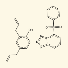 C=CCc1cc(CC=C)c(O)c(-n2nc3cccc(S(=O)(=O)c4ccccc4)c3n2)c1